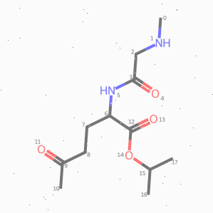 CNCC(=O)NC(CCC(C)=O)C(=O)OC(C)C